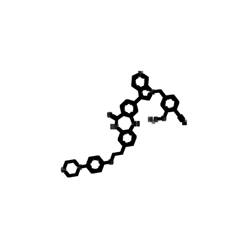 COc1cc(Cn2cc(-c3ccc4c(c3)Nc3ccc(CCOc5ccc(N6CCOCC6)cc5)cc3NC4=O)c3ccncc32)ccc1C#N